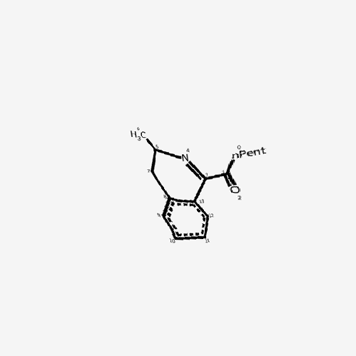 CCCCCC(=O)C1=NC(C)Cc2ccccc21